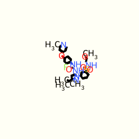 COCCNS(=O)(=O)c1cccc(-n2nc(C(C)(C)C)cc2NC(=O)Nc2ccc(Oc3ccnc(C)c3)cc2F)c1